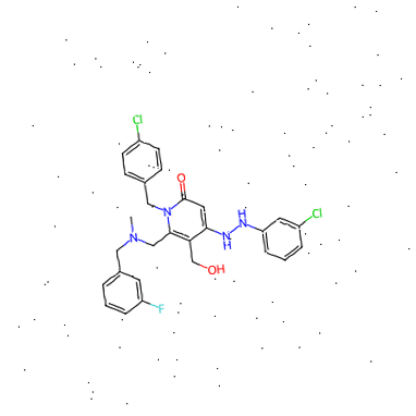 CN(Cc1cccc(F)c1)Cc1c(CO)c(NNc2cccc(Cl)c2)cc(=O)n1Cc1ccc(Cl)cc1